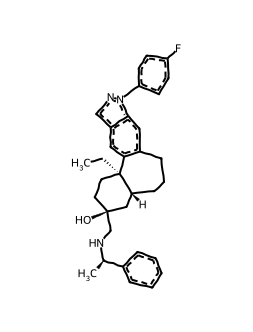 CC[C@@]12CC[C@@](O)(CN[C@H](C)c3ccccc3)C[C@H]1CCCc1cc3c(cnn3-c3ccc(F)cc3)cc12